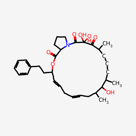 CC1CCCC(C)C(O)C(C)C/C=C/C/C=C/C(CCc2ccccc2)OC(=O)C2CCCN2C(=O)C(O)(O)C1=O